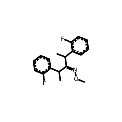 CON=C(C(C)c1ccccc1F)C(C)c1ccccc1F